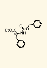 CCOC(=O)[C@H](Cc1ccccc1)NC(=O)OCc1ccccc1